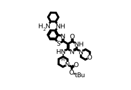 CC(C)(C)OC(=O)N1CCC[C@@H](Nc2nc(N3CCOCC3)[nH]c(=O)c2-c2nc3c(NC4CCCCC4N)cccc3s2)C1